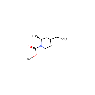 CCOC(=O)CC1CCN(C(=O)OC(C)(C)C)[C@@H](C)C1